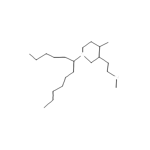 CCCCCCC(CCCCC)N1CCC(C)C(CCNC)C1